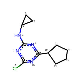 Clc1nc(NC2CC2)nc(C2CCCC2)n1